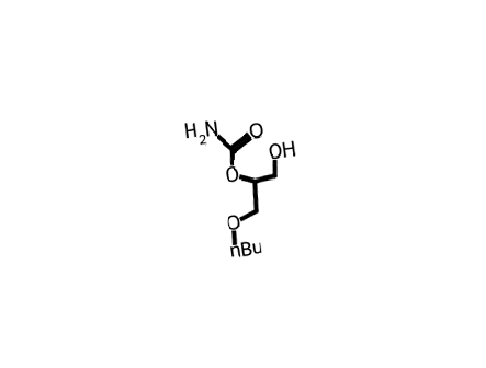 CCCCOCC(CO)OC(N)=O